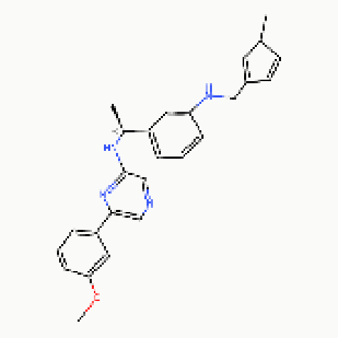 COc1cccc(-c2cncc(N[C@@H](C)c3cccc(NCC4=CC(C)C=C4)c3)n2)c1